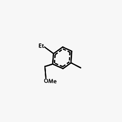 CCc1ccc(C)cc1COC